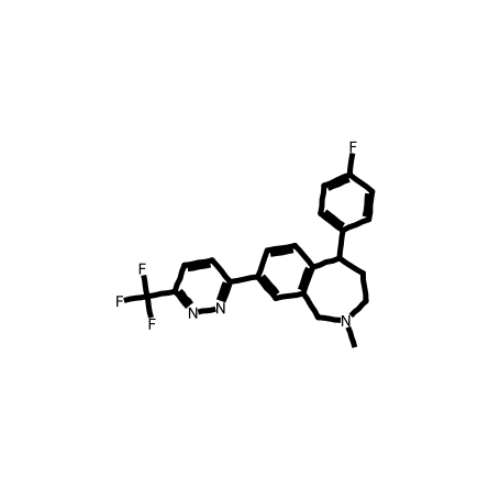 CN1CCC(c2ccc(F)cc2)c2ccc(-c3ccc(C(F)(F)F)nn3)cc2C1